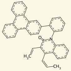 C=Cc1c(/C=C\C)c2ccccc2n(-c2ccccc2-c2ccc3c4ccccc4c4ccccc4c3c2)c1=O